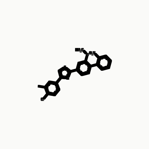 Cc1cc(-c2csc(-c3ccc(-c4ccccc4[N+](=O)[O-])c(OC(=O)O)c3)n2)ccc1Cl